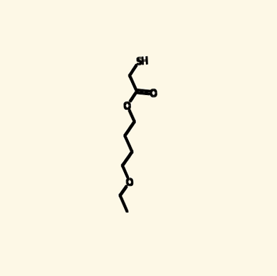 CCOCCCCOC(=O)CS